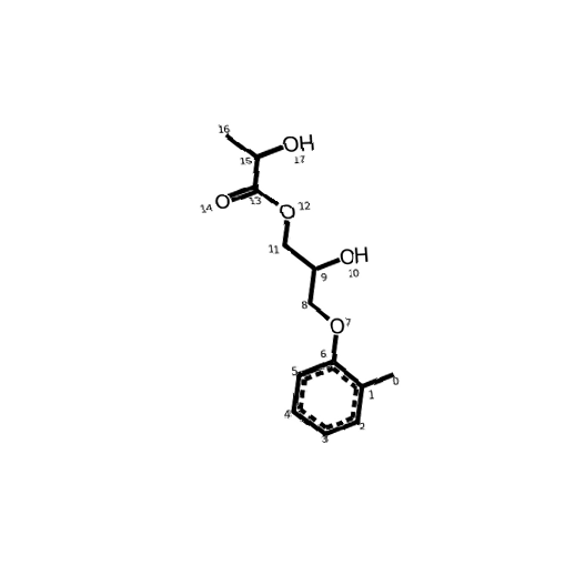 Cc1ccccc1OCC(O)COC(=O)C(C)O